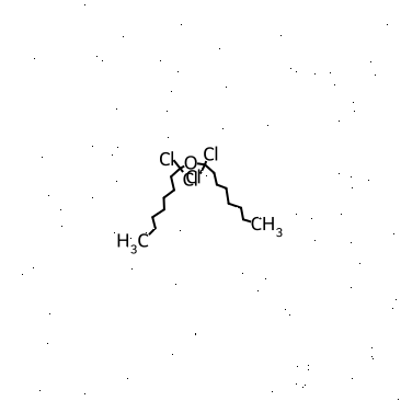 CCCCCCCC(Cl)(Cl)OC(Cl)(Cl)CCCCCCC